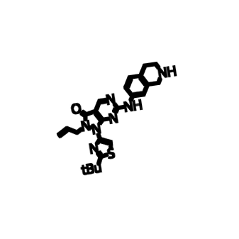 C=CCn1c(=O)c2cnc(Nc3ccc4c(c3)CNCC4)nc2n1-c1csc(C(C)(C)C)n1